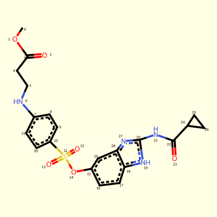 COC(=O)CCNc1ccc(S(=O)(=O)Oc2ccc3[nH]c(NC(=O)C4CC4)nc3c2)cc1